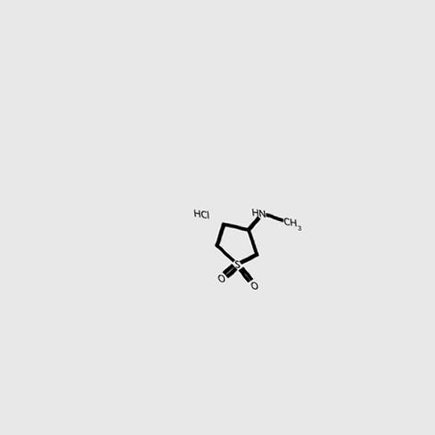 CNC1CCS(=O)(=O)C1.Cl